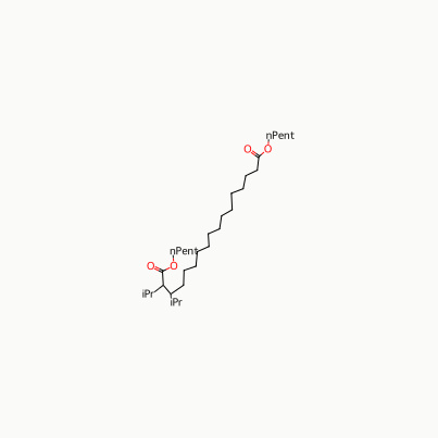 CCCCCOC(=O)CCCCCCCCCCCCCC(C(C)C)C(C(=O)OCCCCC)C(C)C